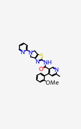 COc1ccccc1-c1cc(C)ncc1C(=O)Nc1nc2c(s1)CN(c1ccccn1)C2